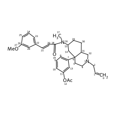 C=CCN1CCC2(c3cccc(OC(C)=O)c3)CC(N(C)C(=O)/C=C/c3cccc(OC)c3)CCC2C1